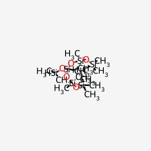 C[SiH](C)O[Si](C)(O[Si](C)(C)O[Si](C)(C)C)O[Si](C)(C)O[Si](C)(C)C